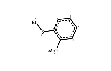 C[CH]Sc1ccccc1OC